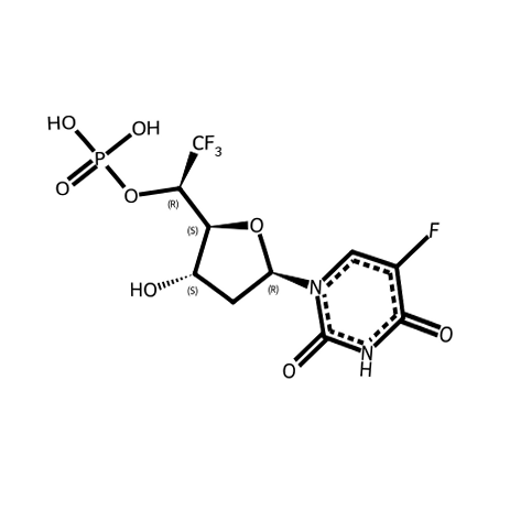 O=c1[nH]c(=O)n([C@H]2C[C@H](O)[C@@H]([C@@H](OP(=O)(O)O)C(F)(F)F)O2)cc1F